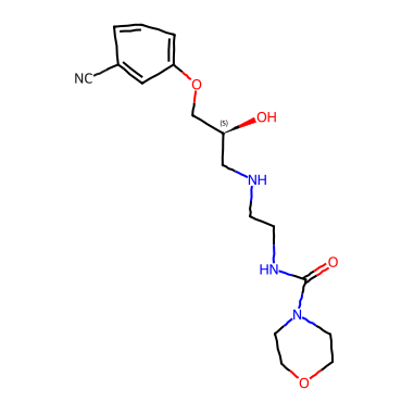 N#Cc1cccc(OC[C@@H](O)CNCCNC(=O)N2CCOCC2)c1